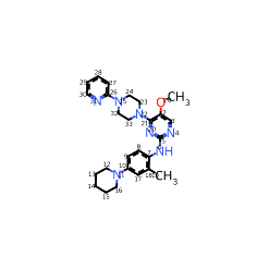 COc1cnc(Nc2ccc(N3CCCCC3)cc2C)nc1N1CCN(c2ccccn2)CC1